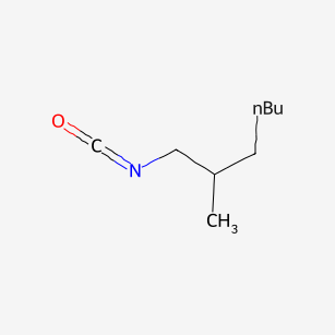 CCCCCC(C)CN=C=O